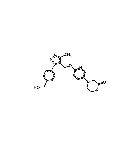 Cc1nnn(-c2ccc(CO)cc2)c1COc1ccc(N2CCNC(=O)C2)nn1